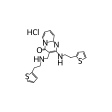 Cl.O=c1c(CNCCc2cccs2)c(NCCc2cccs2)nc2ccccn12